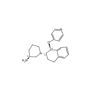 N[C@H]1CCCN([C@H]2CCc3ccccc3[C@@H]2Oc2ccncc2)C1